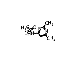 Cc1cc(NS(C)(=O)=O)nc(C)n1